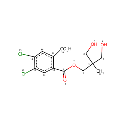 CC(CO)(CO)COC(=O)c1cc(Cl)c(Cl)cc1C(=O)O